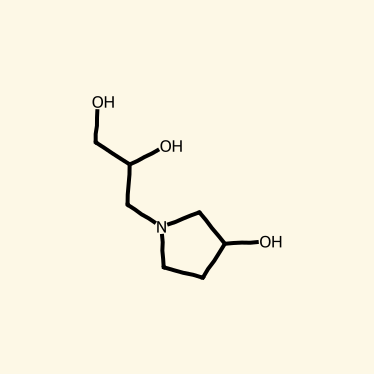 OCC(O)CN1CCC(O)C1